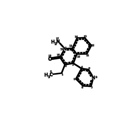 CCc1c(-c2cccnc2)c2ccccc2n(N)c1=O